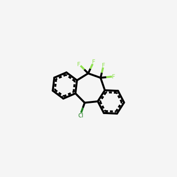 FC1(F)c2ccccc2C(Cl)c2ccccc2C1(F)F